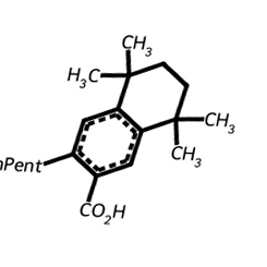 CCCCCc1cc2c(cc1C(=O)O)C(C)(C)CCC2(C)C